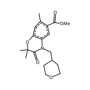 COC(=O)c1cc2c(cc1C)OC(C)(C)C(=O)N2CC1CCOCC1